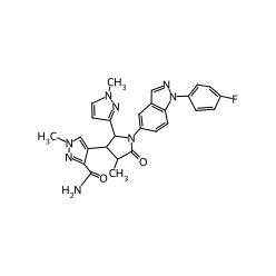 CC1C(=O)N(c2ccc3c(cnn3-c3ccc(F)cc3)c2)C(c2ccn(C)n2)C1c1cn(C)nc1C(N)=O